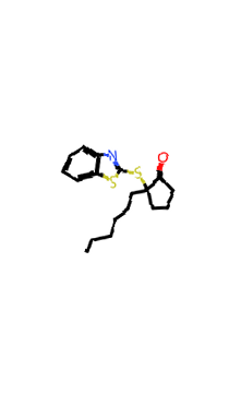 CCCCCCC1(Sc2nc3ccccc3s2)CCCC1=O